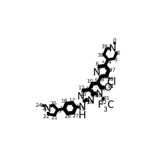 CN1CCC(c2cnc(-c3cc4cnc(Nc5ccc(C6CCN(C)C6)cc5)nc4n(CC(F)(F)F)c3=O)c(Cl)c2)CC1